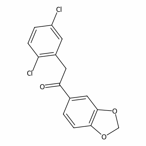 O=C(Cc1cc(Cl)ccc1Cl)c1ccc2c(c1)OCO2